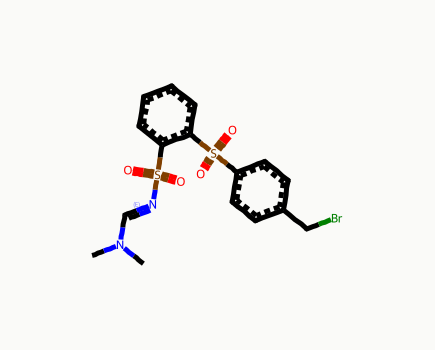 CN(C)/C=N/S(=O)(=O)c1ccccc1S(=O)(=O)c1ccc(CBr)cc1